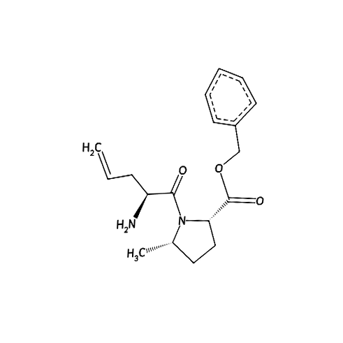 C=CC[C@H](N)C(=O)N1[C@@H](C)CC[C@H]1C(=O)OCc1ccccc1